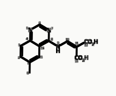 Cc1ccc2ncnc(NC=C(C(=O)O)C(=O)O)c2c1